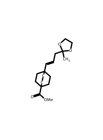 COC(=O)C12CCC(C=CCC3(C)OCCO3)(CC1)CC2